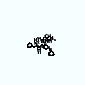 CC(C)(C)NC(=O)[C@@H]1C[C@H](Sc2ccccc2)CCN1C[C@@H](O)[C@@H](N)Cc1ccccc1